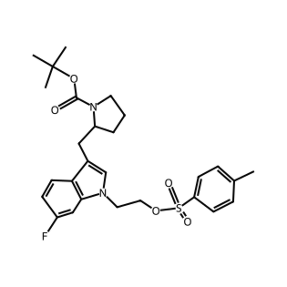 Cc1ccc(S(=O)(=O)OCCn2cc(CC3CCCN3C(=O)OC(C)(C)C)c3ccc(F)cc32)cc1